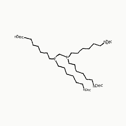 CCCCCCCCCCCCCCCCP(CCCCCCCCCCCCCCCC)CP(CCCCCCCCCCCCCCCC)CCCCCCCCCCCCCCCC